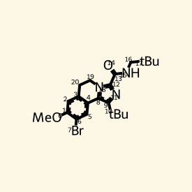 COc1cc2c(cc1Br)-c1c(C(C)(C)C)nc(C(=O)NCC(C)(C)C)n1CC2